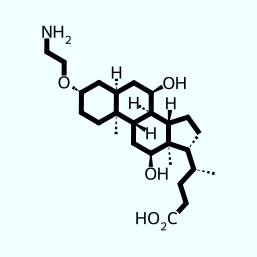 C[C@H](CCC(=O)O)[C@H]1CC[C@H]2[C@@H]3[C@H](O)C[C@@H]4C[C@@H](OCCN)CC[C@]4(C)[C@H]3C[C@H](O)[C@]12C